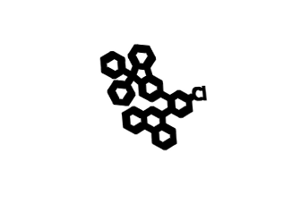 Clc1ccc(-c2cc3ccccc3c3ccccc23)c(-c2ccc3c(c2)-c2ccccc2C3(c2ccccc2)c2ccccc2)c1